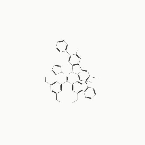 CC(C)(C)c1cc2c(cc1-c1ccccc1)[CH]([Zr](=[C](c1cc(CCl)cc(CCl)c1)c1cc(CCl)cc(CCl)c1)[CH]1C=CC=C1)c1cc(-c3ccccc3)c(C(C)(C)C)cc1-2